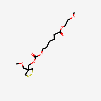 COCCOC(=O)CCCCCOC(=O)OCC1(COC)CSSC1